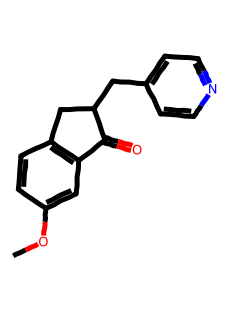 COc1ccc2c(c1)C(=O)C(Cc1ccncc1)C2